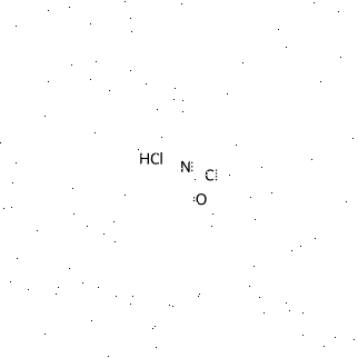 Cl.[C].[N].[O]